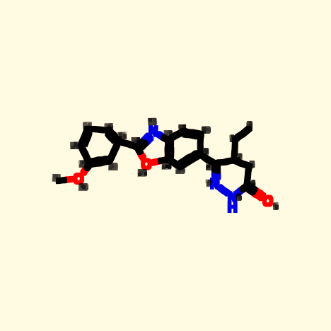 CCC1CC(=O)NN=C1c1ccc2nc(-c3cccc(OC)c3)oc2c1